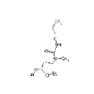 C=CCCNC(=O)N(C)CCC(OCC)OCC